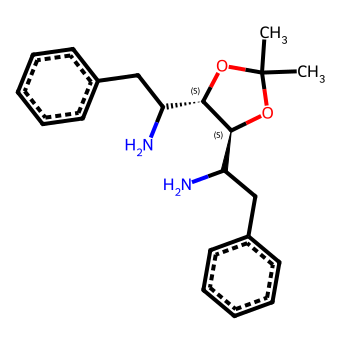 CC1(C)O[C@@H](C(N)Cc2ccccc2)[C@H](C(N)Cc2ccccc2)O1